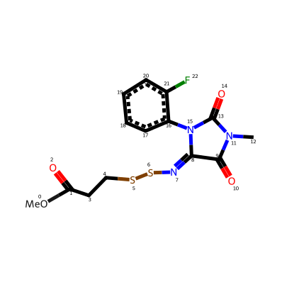 COC(=O)CCSS/N=C1/C(=O)N(C)C(=O)N1c1ccccc1F